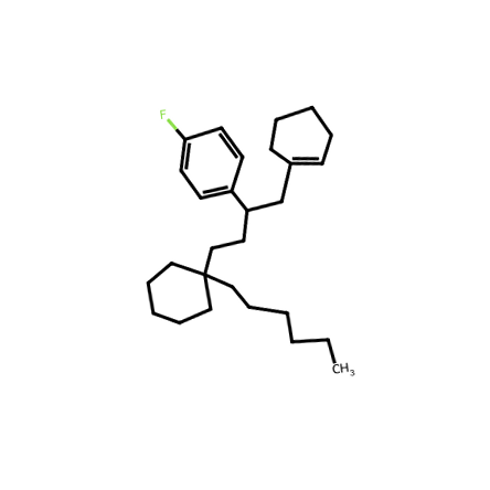 CCCCCCC1(CCC(CC2=CCCCC2)c2ccc(F)cc2)CCCCC1